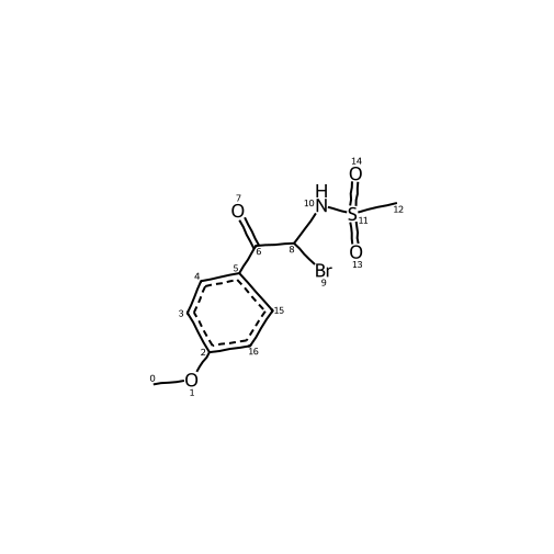 COc1ccc(C(=O)C(Br)NS(C)(=O)=O)cc1